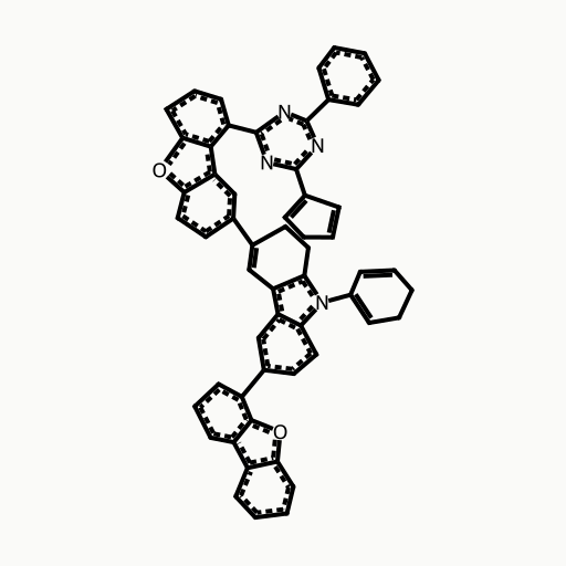 C1=CC(c2nc(-c3ccccc3)nc(-c3cccc4oc5ccc(C6=Cc7c(n(C8=CCCC=C8)c8ccc(-c9cccc%10c9oc9ccccc9%10)cc78)CC6)cc5c34)n2)=CC1